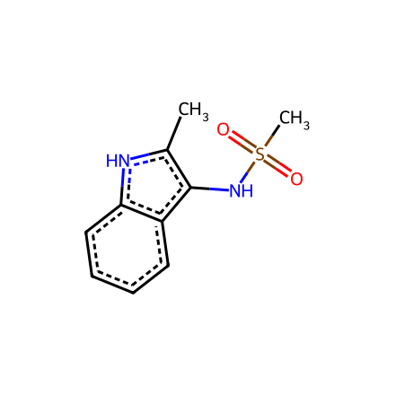 Cc1[nH]c2ccccc2c1NS(C)(=O)=O